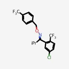 CC(C)/C(=N\OCc1ccc(C(F)(F)F)cc1)c1cc(Cl)ccc1C(F)(F)F